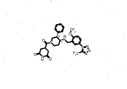 O=C1CC(C(=O)N2CC[C@H](NCc3cc(-n4nnnc4C(F)(F)F)ccc3OC(F)(F)F)[C@H](c3ccccc3)C2)CC(=O)N1